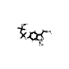 CC(C)(CC(C)(C)Oc1ccc2c(c1)B(O)OC2CN)OI